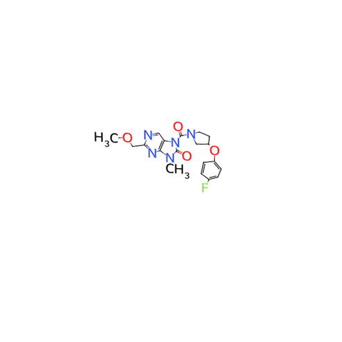 COCc1ncc2c(n1)n(C)c(=O)n2C(=O)N1CC[C@@H](Oc2ccc(F)cc2)C1